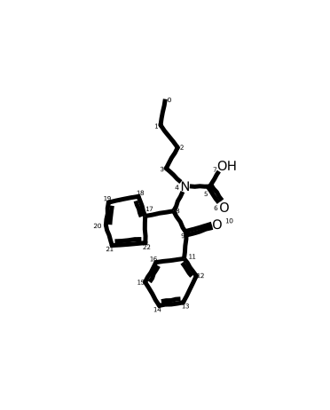 CCCCN(C(=O)O)C(C(=O)c1ccccc1)c1ccccc1